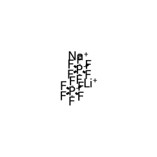 F[P-](F)(F)(F)(F)F.F[P-](F)(F)(F)(F)F.[Li+].[Na+]